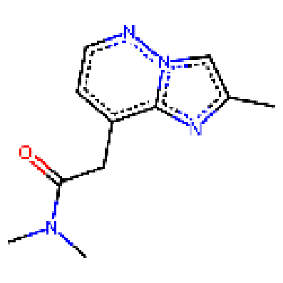 Cc1cn2nccc(CC(=O)N(C)C)c2n1